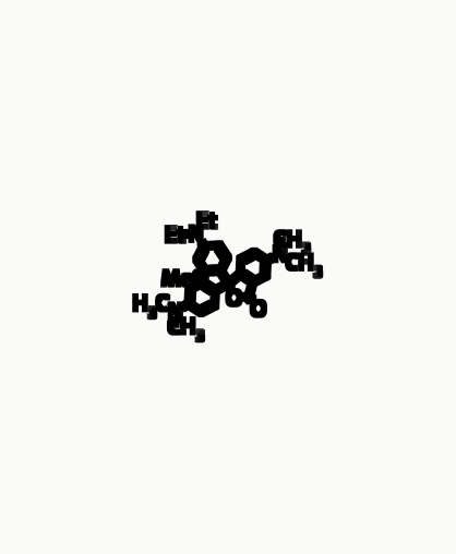 CCN(CC)c1ccc(C2(c3ccc(N(C)C)cc3)OC(=O)c3cc(N(C)C)ccc32)c(OC)c1